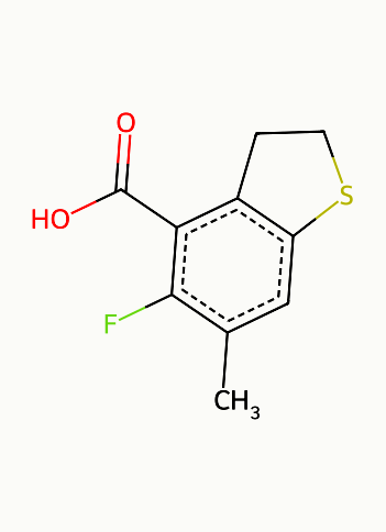 Cc1cc2c(c(C(=O)O)c1F)CCS2